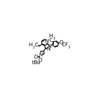 C=Cc1ccnc2c1c(C1CN(C(=O)OC(C)(C)C)C1)nn2-c1ccc(OC(F)(F)F)cc1C